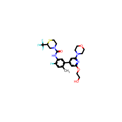 Cc1cc(F)c(NC(=O)N2CCSC(C(F)(F)F)C2)cc1-c1cc(OCCO)nc(N2CCOCC2)c1